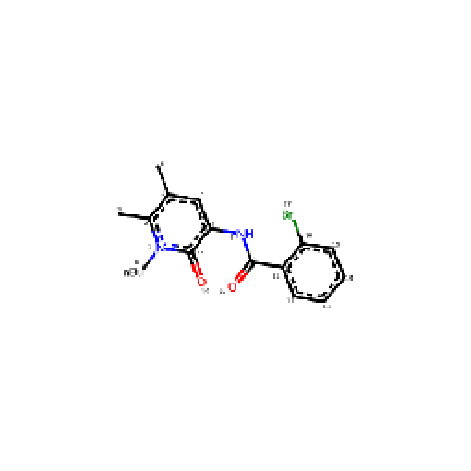 CCCCn1c(C)c(C)cc(NC(=O)c2ccccc2Br)c1=O